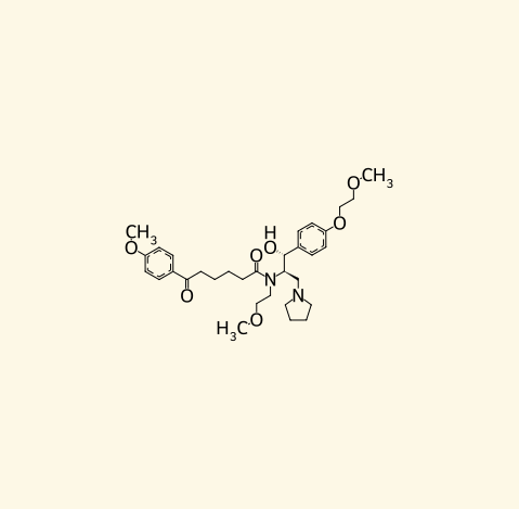 COCCOc1ccc([C@@H](O)[C@@H](CN2CCCC2)N(CCOC)C(=O)CCCCC(=O)c2ccc(OC)cc2)cc1